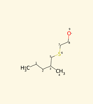 CCCC(C)CSCC[O]